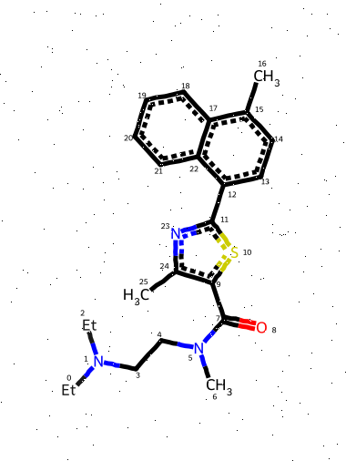 CCN(CC)CCN(C)C(=O)c1sc(-c2ccc(C)c3ccccc23)nc1C